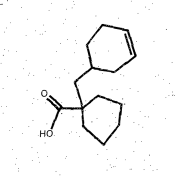 O=C(O)C1(CC2CC=CCC2)C[CH]CCC1